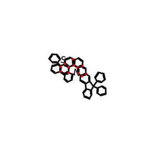 c1ccc(-c2ccccc2-c2c(-c3ccccc3)cccc2N(c2ccc3c(c2)-c2ccccc2C3(c2ccccc2)c2ccccc2)c2ccccc2-c2cccc3c2sc2ccccc23)cc1